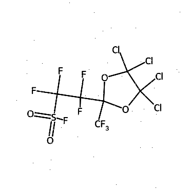 O=S(=O)(F)C(F)(F)C(F)(F)C1(C(F)(F)F)OC(Cl)(Cl)C(Cl)(Cl)O1